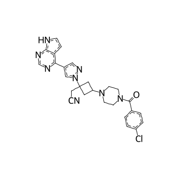 N#CCC1(n2cc(-c3ncnc4[nH]ccc34)cn2)CC(N2CCN(C(=O)c3ccc(Cl)cc3)CC2)C1